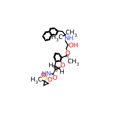 C[C@@H](OCC(O)CNC(C)(C)Cc1ccc2ccccc2c1)c1cccc2c1O[C@@H]1[C@@H](C(=O)NS(=O)(=O)C3(C)CC3)[C@H]21